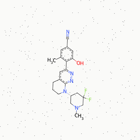 Cc1cc(C#N)cc(O)c1-c1cc2c(nn1)N([C@H]1CN(C)CC(F)(F)C1)CCC2